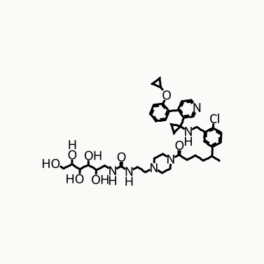 CC(CCCC(=O)N1CCN(CCNC(=O)NCC(O)C(O)C(O)C(O)CO)CC1)c1ccc(Cl)c(CNC2(c3cnccc3-c3ccccc3OC3CC3)CC2)c1